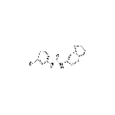 O=C(Nc1cccc(Br)c1)Nc1ccc2ccccc2c1